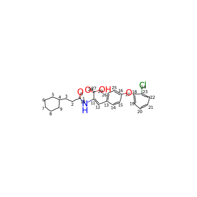 O=C(CCC1CCCCC1)NC(=Cc1ccc(Oc2ccccc2Cl)cc1)C(=O)O